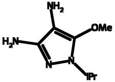 COc1c(N)c(N)nn1C(C)C